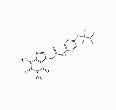 Cn1c(=O)c2c(ncn2CC(=O)Nc2ccc(OC(F)(F)C(F)F)cc2)n(C)c1=O